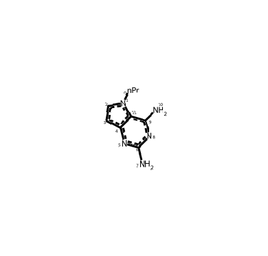 CCCn1ccc2nc(N)nc(N)c21